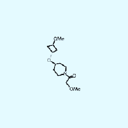 COCC(=O)N1CCC(O[C@H]2C[C@H](OC)C2)CC1